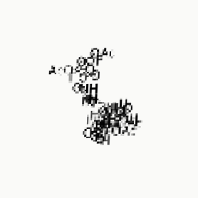 CC(=O)Oc1cc2c(cc1F)C1(OC(=O)c3cc(C(=O)NCc4cn(CCCC(=O)N[C@@H]5[C@H](O)C6C([C@H](OC(C)=O)[C@H](OC(C)=O)[C@]7(C)[C@H]8[C@H](C)[C@H]9O[C@]9%10OC(=O)[C@@](C)(O)[C@]%10(C)[C@@H]8[C@H](O)[C@@H]67)[C@]6(C)[C@@H]5C[C@@H]5O[C@@H]5[C@@H]6O)nn4)ccc31)c1cc(F)c(OC(C)=O)cc1O2